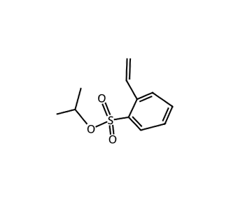 C=Cc1ccccc1S(=O)(=O)OC(C)C